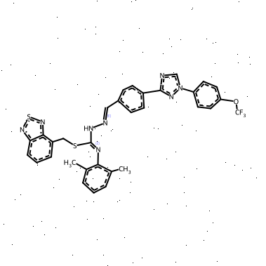 Cc1cccc(C)c1/N=C(/N/N=C/c1ccc(-c2ncn(-c3ccc(OC(F)(F)F)cc3)n2)cc1)SCc1cccc2nsnc12